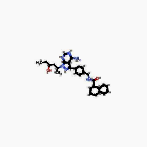 CCC(O)CC(C)n1nc(-c2ccc(CNC(=O)c3cccc4ccccc34)cc2)c2c(N)ncnc21